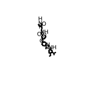 CCc1ccc(Nc2nc3cc(Oc4ccnc(C(=O)NCCN5CCNC5=O)c4)ccc3n2C)cc1C(C)C